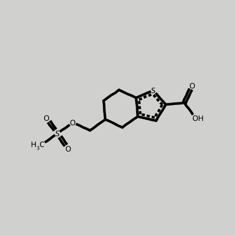 CS(=O)(=O)OCC1CCc2sc(C(=O)O)cc2C1